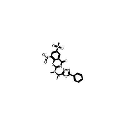 C[C@H](c1nnc(-c2ccccc2)o1)N(C)c1nc(=O)c2cc(S(C)(=O)=O)cc([N+](=O)[O-])c2s1